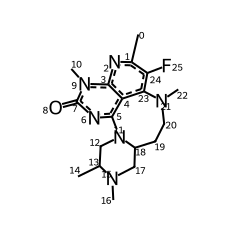 Cc1nc2c3c(nc(=O)n2C)N2CC(C)N(C)CC2CCN(C)c3c1F